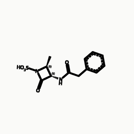 C[C@H]1[C@H](NC(=O)Cc2ccccc2)C(=O)N1S(=O)(=O)O